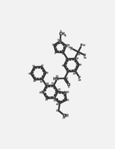 Cn1ccc(-c2cc(C(=O)Nc3c(-c4ccccc4)ncn4c(CO)cnc34)c(F)cc2C(F)(F)F)n1